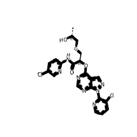 C[C@@H](O)COC[C@@H](Oc1ncnc2c1cnn2-c1ncccc1Cl)C(=O)Nc1ccc(Cl)cn1